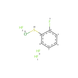 F.F.F.Fc1ccccc1SCl